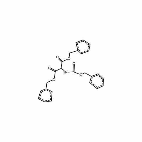 O=C(NC(C(=O)OCc1ccccc1)C(=O)OCc1ccccc1)OCc1ccccc1